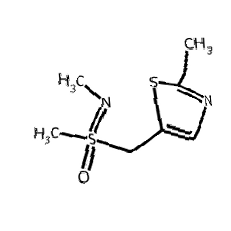 CN=S(C)(=O)Cc1cnc(C)s1